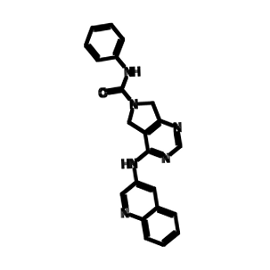 O=C(Nc1ccccc1)N1Cc2ncnc(Nc3cnc4ccccc4c3)c2C1